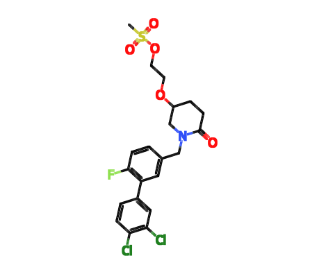 CS(=O)(=O)OCCOC1CCC(=O)N(Cc2ccc(F)c(-c3ccc(Cl)c(Cl)c3)c2)C1